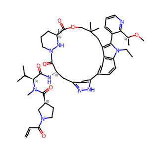 C=CC(=O)N1CC[C@H](C(=O)N(C)[C@H](C(=O)N[C@H]2Cc3cc([nH]n3)-c3ccc4c(c3)c(c(-c3cccnc3[C@H](C)OC)n4CC)CC(C)(C)COC(=O)[C@@H]3CCCN(N3)C2=O)C(C)C)C1